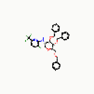 Fc1ccc(C(F)(F)F)nc1N[C@H]1CO[C@H](COCc2ccccc2)[C@H](OCc2ccccc2)[C@@H]1OCc1ccccc1